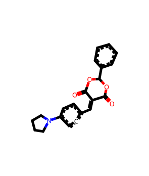 O=C1OC(c2ccccc2)OC(=O)C1=Cc1ccc(N2CCCC2)cc1